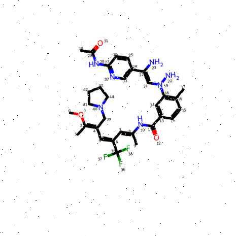 CO/C(C)=C(/C=C(\C=C(/C)NC(=O)c1ccc(C)c(N(N)/C=C(\N)c2ccc(NC(C)=O)nc2)c1)C(F)(F)F)CN1CCCC1